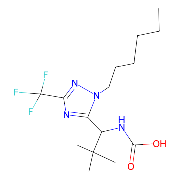 CCCCCCn1nc(C(F)(F)F)nc1C(NC(=O)O)C(C)(C)C